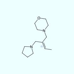 C/C=C(/CN1CCCC1)CN1CCOCC1